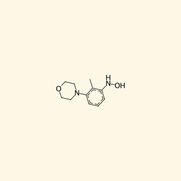 Cc1c(NO)cccc1N1CCOCC1